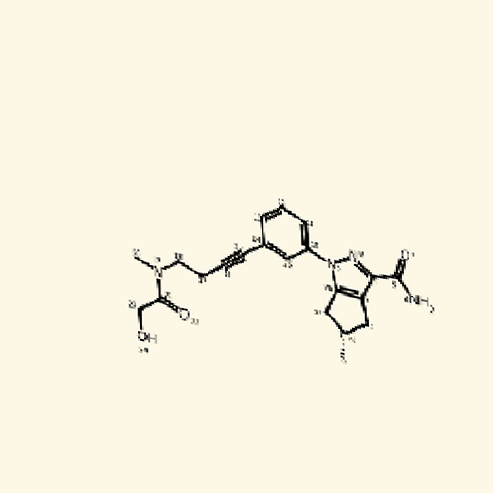 C[C@H]1Cc2c(C(N)=O)nn(-c3cccc(C#CCCN(C)C(=O)CO)c3)c2C1